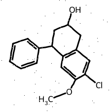 COc1cc2c(cc1Cl)CC(O)CC2c1ccccc1